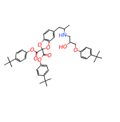 CC(Cc1ccc2c(c1)OC(C(=O)Oc1ccc(C(C)(C)C)cc1)(C(=O)Oc1ccc(C(C)(C)C)cc1)O2)NCC(O)COc1ccc(C(C)(C)C)cc1